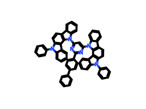 c1ccc(-c2ccc(-c3nc(-n4c5ccccc5c5ccc6c(c7ccccc7n6-c6ccccc6)c54)cc(-n4c5ccccc5c5ccc6c(c7ccccc7n6-c6ccccc6)c54)n3)cc2)cc1